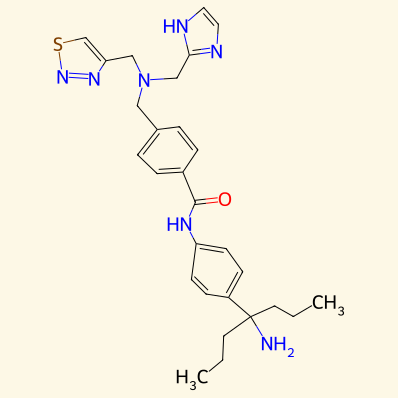 CCCC(N)(CCC)c1ccc(NC(=O)c2ccc(CN(Cc3csnn3)Cc3ncc[nH]3)cc2)cc1